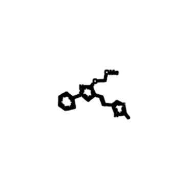 COCOc1nn(-c2ccccc2)cc1C=Cc1csc(C)n1